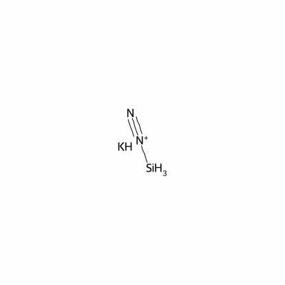 N#[N+][SiH3].[KH]